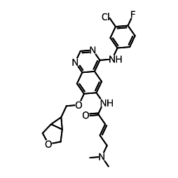 CN(C)C/C=C/C(=O)Nc1cc2c(Nc3ccc(F)c(Cl)c3)ncnc2cc1OCC1C2COCC21